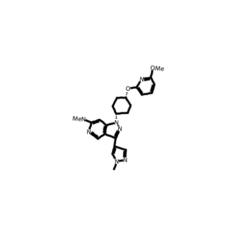 CNc1cc2c(cn1)c(-c1cnn(C)c1)nn2[C@H]1CC[C@@H](Oc2cccc(OC)n2)CC1